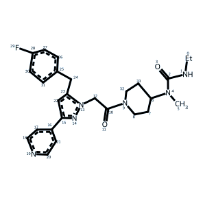 CCNC(=O)N(C)C1CCN(C(=O)Cn2nc(-c3ccncc3)cc2Cc2ccc(F)cc2)CC1